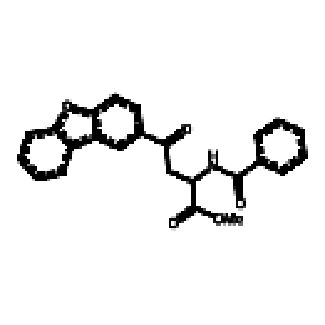 COC(=O)C(CC(=O)c1ccc2oc3ccccc3c2c1)NC(=O)c1ccccc1